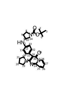 CC(C)(C)OC(=O)N1CC[C@@H](Nc2ccc(-c3c(N4CCCC4)nc4ccccn4c3=O)cc2)C1